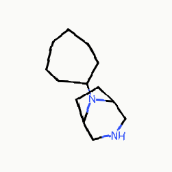 C1CCCC(N2C3CCC2CNC3)CC1